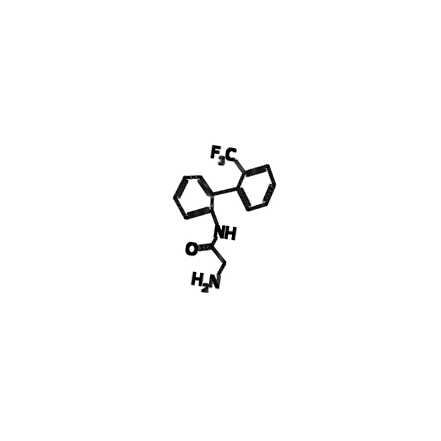 NCC(=O)Nc1ccccc1-c1ccccc1C(F)(F)F